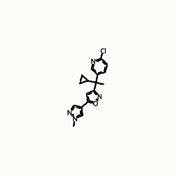 Cn1cc(-c2cc(C(C)(c3ccc(Cl)nc3)C3CC3)no2)cn1